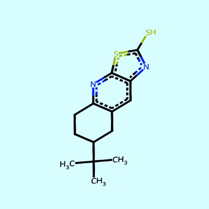 CC(C)(C)C1CCc2nc3sc(S)nc3cc2C1